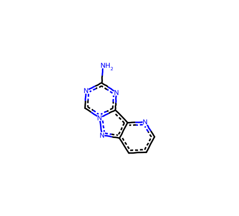 Nc1ncn2nc3cccnc3c2n1